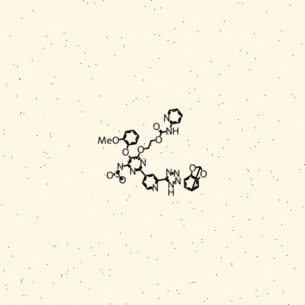 COc1ccccc1Oc1c(N=S(=O)=O)nc(-c2ccnc(-c3nnn[nH]3)c2)nc1OCCOC(=O)Nc1ccccn1.c1cc2c3cc1C(O2)O3